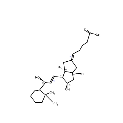 CC1(C)CCCCC1[C@@H](O)/C=C/[C@@H]1[C@H]2C/C(=C/CCCC(=O)O)C[C@@H]2C[C@H]1O